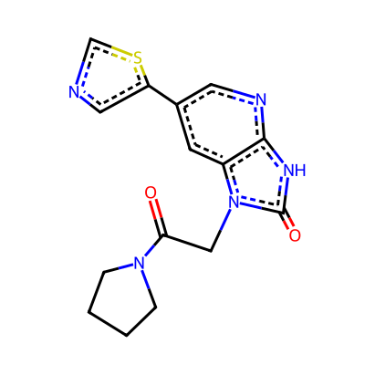 O=C(Cn1c(=O)[nH]c2ncc(-c3cncs3)cc21)N1CCCC1